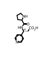 O=C(O)C[C@@H](NC(=O)C1CCCN1)c1ccncc1